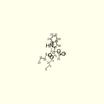 CCCCOCC(COCCCC)(OC(C)=O)c1cc2ccccc2[nH]1